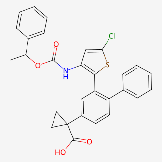 CC(OC(=O)Nc1cc(Cl)sc1-c1cc(C2(C(=O)O)CC2)ccc1-c1ccccc1)c1ccccc1